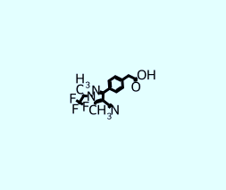 Cc1c(C#N)c(-c2ccc(CC(=O)O)cc2)nn1C(C)C(F)(F)F